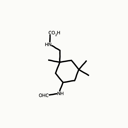 CC1(C)CC(NC=O)CC(C)(CNC(=O)O)C1